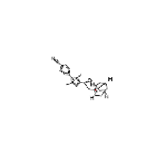 Cc1cc(C(=O)CN2[C@H]3C[C@@H]4C[C@@H](C[C@H]2C4)C3)c(C)n1-c1ccc(C#N)cc1